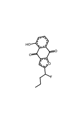 CCCC(F)c1cc2c(o1)C(=O)c1cccc(O)c1C2=O